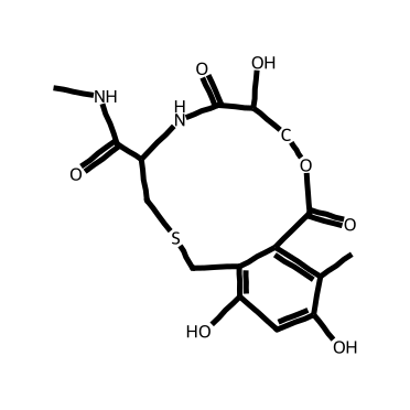 CNC(=O)C1CSCc2c(O)cc(O)c(C)c2C(=O)OCC(O)C(=O)N1